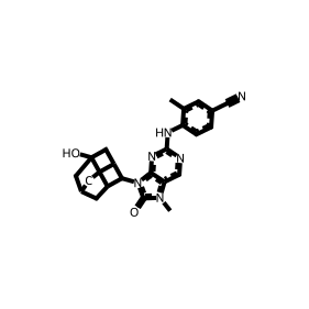 Cc1cc(C#N)ccc1Nc1ncc2c(n1)n(C1C3CC4CC5(O)CC1C35C4)c(=O)n2C